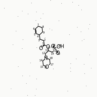 O=C(CCC1C=CCCC1)OC(CN1CCOCC1)CS(=O)(=O)O